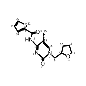 O=C(Nc1nc(=O)n(CC2CCCO2)cc1F)c1cccs1